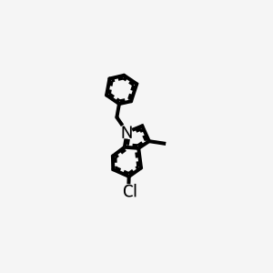 Cc1cn(Cc2ccccc2)c2ccc(Cl)cc12